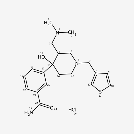 CN(C)CC1CN(Cc2ccsc2)CCC1(O)c1cccc(C(N)=O)c1.Cl